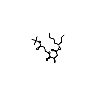 C=C(CC(=O)OC(CCC)CCCC)C(=O)OCCC(=O)OC(C)(C)C